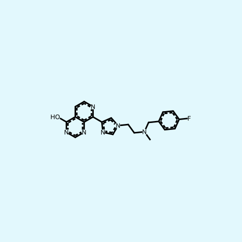 CN(CCn1cnc(-c2nccc3c(O)ncnc23)c1)Cc1ccc(F)cc1